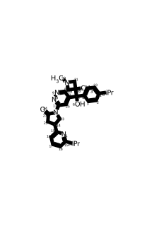 CC(C)c1ccc(C(O)(c2cnnc(N3CC(c4cccc(C(C)C)n4)CC3=O)c2)C2(C)CN(C)C2)cc1